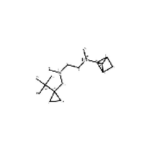 CN(CC[SH](C)C1C2CC1C2)CC1(C(C)(C)C)CC1